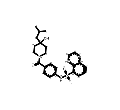 CC(C)CC1(O)CCN(C(=O)c2ccc(NS(=O)(=O)c3cc#cc4nccnc34)cc2)CC1